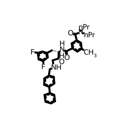 CCCN(CCC)C(=O)c1cc(C)cc(C(=O)N[C@@H](Cc2cc(F)cc(F)c2)[C@H](O)CNCc2ccc(-c3ccccc3)cc2)c1